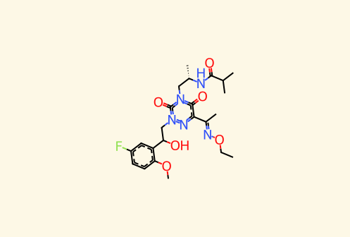 CCO/N=C(\C)c1nn(CC(O)c2cc(F)ccc2OC)c(=O)n(C[C@H](C)NC(=O)C(C)C)c1=O